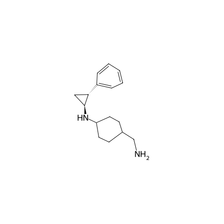 NCC1CCC(N[C@H]2C[C@@H]2c2ccccc2)CC1